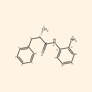 [CH2][C@@H](Cc1ccccc1)C(=O)Nc1ccccc1N